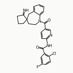 N=C1CCCC12CCN(C(=O)c1ccc(NC(=O)c3cc(F)ccc3Cl)nc1)c1ccccc1C2